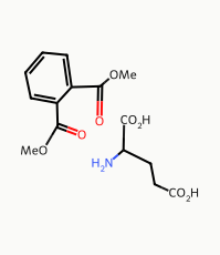 COC(=O)c1ccccc1C(=O)OC.NC(CCC(=O)O)C(=O)O